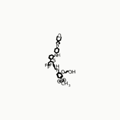 CS(=O)(=O)c1ccc(NCC#Cc2sc3c(NC4CCC(N5CC6(CCOCC6)C5)CC4)cccc3c2CC(F)(F)F)c(OCCO)c1